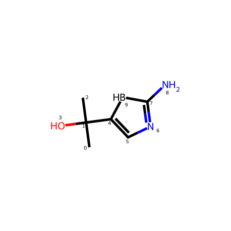 CC(C)(O)C1=CN=C(N)B1